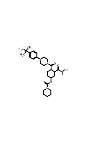 CC(C)(C)c1ccc(N2CCN(C(=O)C3CCC(OC(=O)N4CCCCC4)CC3C(=O)NO)CC2)cc1